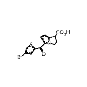 O=C(c1cc(Br)cs1)c1ccc2n1CCC2C(=O)O